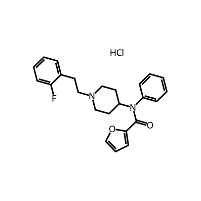 Cl.O=C(c1ccco1)N(c1ccccc1)C1CCN(CCc2ccccc2F)CC1